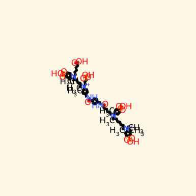 CC\[N+](=C(C)/C=C/C=C/C=C(\C)N(CCCCCC(=O)NCc1ccc(C(=O)NCc2ccc(/[N+](CCCS(=O)(=O)O)=C(C)/C=C/C=C(\C)N(CCCCCC(=O)O)c3ccc(S(=O)(=O)O)cc3C)c(C)c2)cc1)c1ccc(S(=O)(=O)O)cc1C)c1ccc(S(=O)(=O)O)cc1C